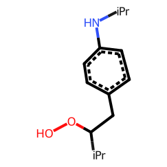 CC(C)Nc1ccc(CC(OO)C(C)C)cc1